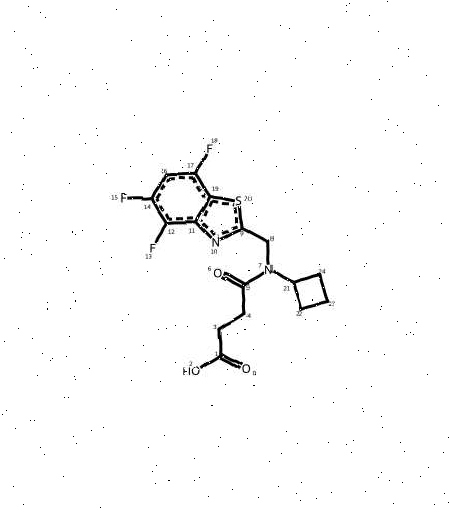 O=C(O)CCC(=O)N(Cc1nc2c(F)c(F)cc(F)c2s1)C1CCC1